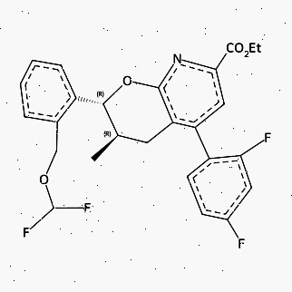 CCOC(=O)c1cc(-c2ccc(F)cc2F)c2c(n1)O[C@@H](c1ccccc1COC(F)F)[C@H](C)C2